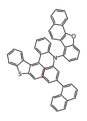 c1cc(-c2cccc3ccccc23)cc(N(c2ccccc2-c2cccc3sc4ccccc4c23)c2cccc3oc4c5ccccc5ccc4c23)c1